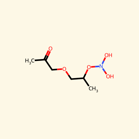 CC(=O)COCC(C)ON(O)O